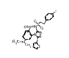 COc1ccc(N(C)C)cc1-n1c(NS(=O)(=O)CCc2ccc(Cl)cc2)nnc1-c1cccs1